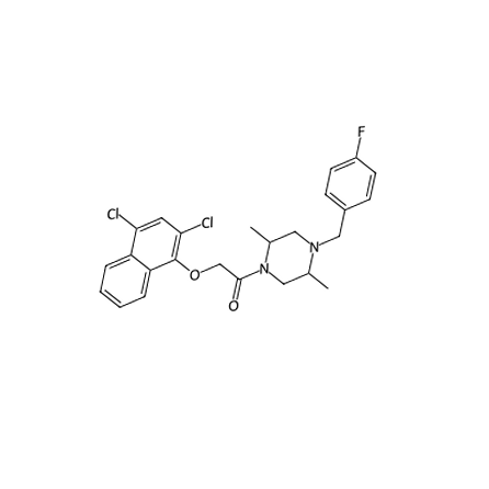 CC1CN(C(=O)COc2c(Cl)cc(Cl)c3ccccc23)C(C)CN1Cc1ccc(F)cc1